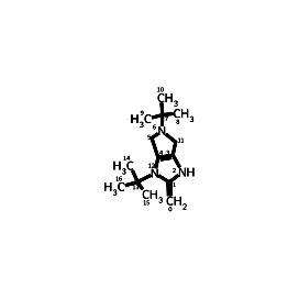 C=C1NC2=C(CN(C(C)(C)C)C2)N1C(C)(C)C